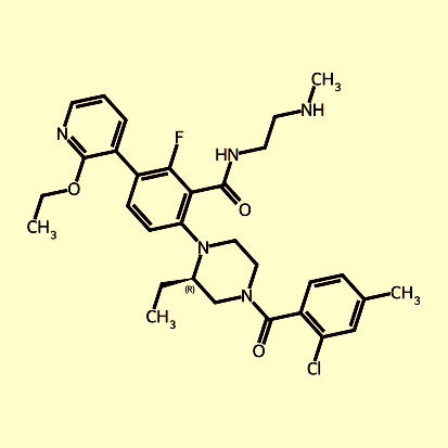 CCOc1ncccc1-c1ccc(N2CCN(C(=O)c3ccc(C)cc3Cl)C[C@H]2CC)c(C(=O)NCCNC)c1F